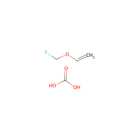 C=COCF.O=C(O)O